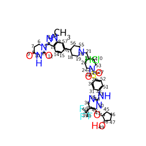 Cl.Cn1nc(N2CCC(=O)NC2=O)c2ccc(C3CCN(CC4CCN(S(=O)(=O)c5ccc(Nc6ncc(C(F)(F)F)c(O[C@@H]7CCC[C@@H]7O)n6)cc5)CC4)CC3)cc21